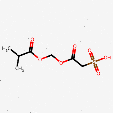 CC(C)C(=O)OCOC(=O)CS(=O)(=O)O